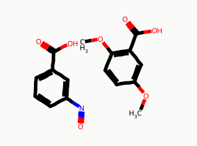 COc1ccc(OC)c(C(=O)O)c1.O=Nc1cccc(C(=O)O)c1